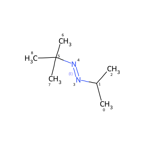 CC(C)/N=N/C(C)(C)C